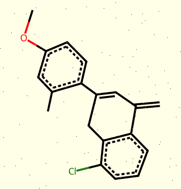 C=C1C=C(c2ccc(OC)cc2C)Cc2c(Cl)cccc21